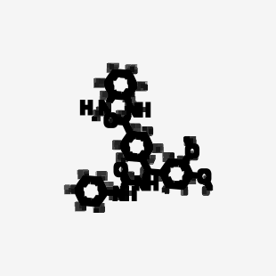 COc1ccc(C(NC(=O)Nc2ccccc2)c2ccc(C(=O)Nc3ccccc3N)cc2)cc1OC